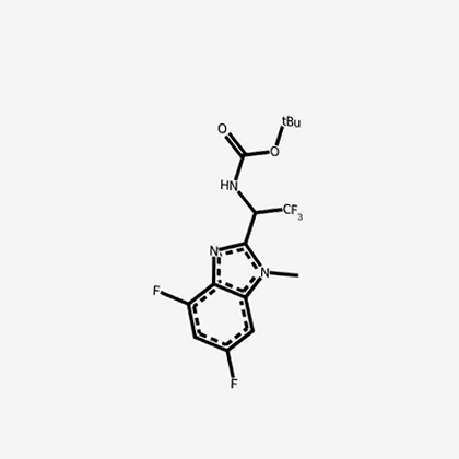 Cn1c(C(NC(=O)OC(C)(C)C)C(F)(F)F)nc2c(F)cc(F)cc21